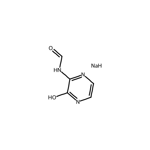 O=CNc1nccnc1O.[NaH]